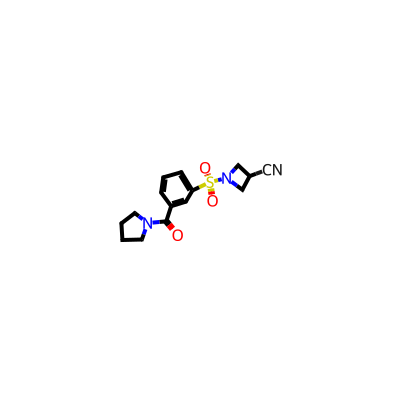 N#CC1CN(S(=O)(=O)c2cccc(C(=O)N3CCCC3)c2)C1